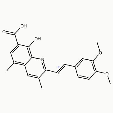 COc1ccc(/C=C/c2nc3c(O)c(C(=O)O)cc(C)c3cc2C)cc1OC